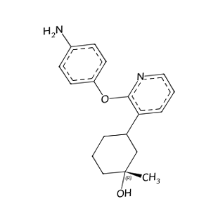 C[C@@]1(O)CCCC(c2cccnc2Oc2ccc(N)cc2)C1